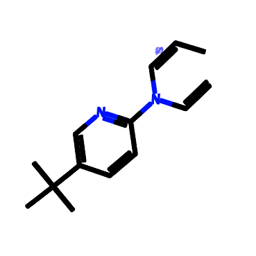 C=CN(/C=C\C)c1ccc(C(C)(C)C)cn1